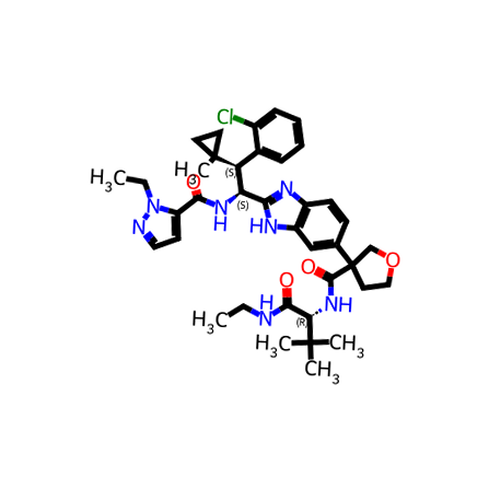 CCNC(=O)[C@H](NC(=O)C1(c2ccc3nc([C@@H](NC(=O)c4ccnn4CC)[C@H](c4ccccc4Cl)C4(C)CC4)[nH]c3c2)CCOC1)C(C)(C)C